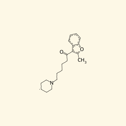 Cc1oc2ccccc2c1C(=O)CCCCCN1CC[CH]CC1